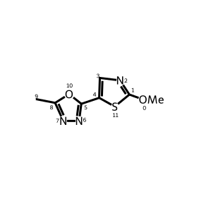 COc1ncc(-c2nnc(C)o2)s1